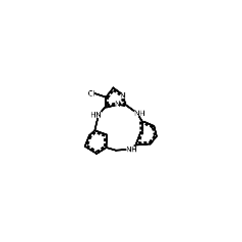 Clc1cnc2nc1Nc1cccc(c1)CNc1cccc(c1)N2